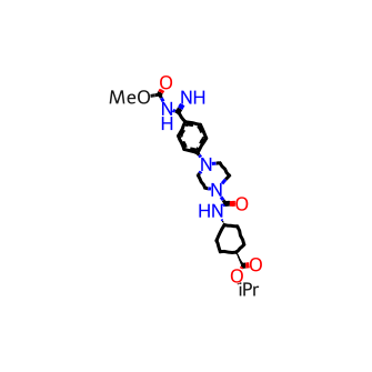 COC(=O)NC(=N)c1ccc(N2CCN(C(=O)N[C@H]3CC[C@H](C(=O)OC(C)C)CC3)CC2)cc1